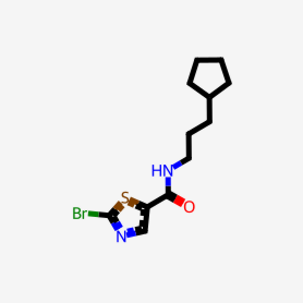 O=C(NCCCC1CCCC1)c1cnc(Br)s1